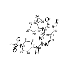 CS(=O)(=O)N1CCC(Nc2ncc3cc(F)c(=O)n(C4CCCC45CC5)c3n2)CC1